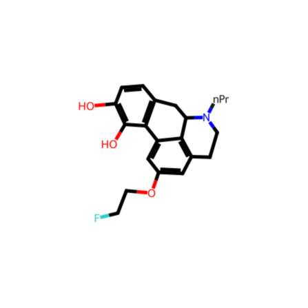 CCCN1CCc2cc(OCCF)cc3c2C1Cc1ccc(O)c(O)c1-3